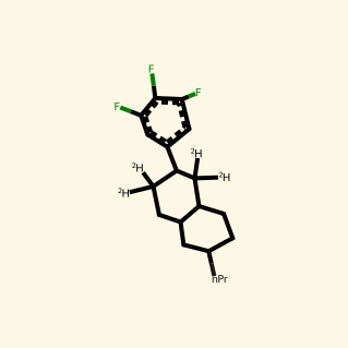 [2H]C1([2H])CC2CC(CCC)CCC2C([2H])([2H])C1c1cc(F)c(F)c(F)c1